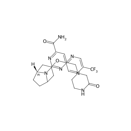 NC(=O)c1cc(CN2CCNC(=O)C2)nc(N2C3CC[C@@H]2CC(Oc2ccc(C(F)(F)F)cn2)C3)n1